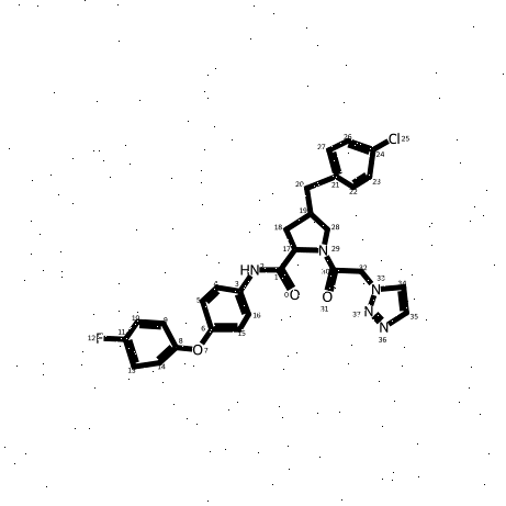 O=C(Nc1ccc(Oc2ccc(F)cc2)cc1)C1CC(Cc2ccc(Cl)cc2)CN1C(=O)Cn1ccnn1